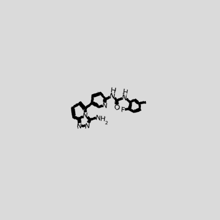 Cc1ccc(F)c(NC(=O)Nc2ccc(-c3cccc4nnc(N)n34)cn2)c1